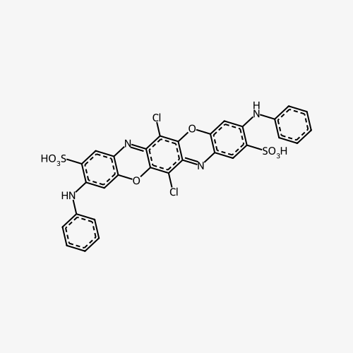 O=S(=O)(O)c1cc2c(cc1Nc1ccccc1)Oc1c(Cl)c3c(c(Cl)c1=N2)Oc1cc(Nc2ccccc2)c(S(=O)(=O)O)cc1N=3